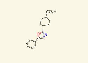 O=C(O)C1CCC(c2ncc(-c3ccccc3)o2)CC1